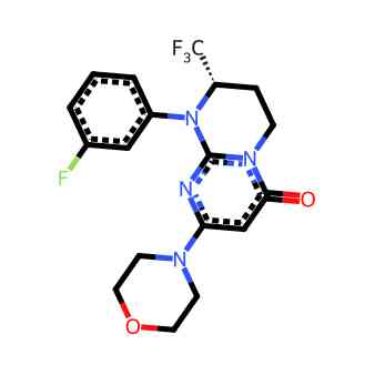 O=c1cc(N2CCOCC2)nc2n1CC[C@@H](C(F)(F)F)N2c1cccc(F)c1